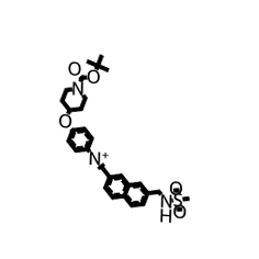 CC(C)(C)OC(=O)N1CCC(Oc2ccc([N+]#Cc3ccc4ccc(CNS(C)(=O)=O)cc4c3)cc2)CC1